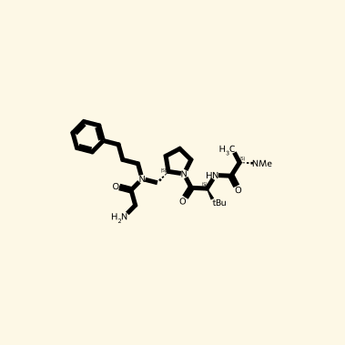 CN[C@@H](C)C(=O)N[C@H](C(=O)N1CCC[C@H]1CN(CCCc1ccccc1)C(=O)CN)C(C)(C)C